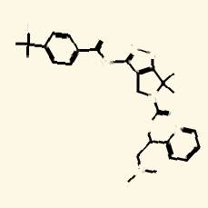 CN(C)CC(OC(=O)N1Cc2c(NC(=O)c3ccc(C(F)(F)F)cc3)n[nH]c2C1(C)C)c1ccccn1